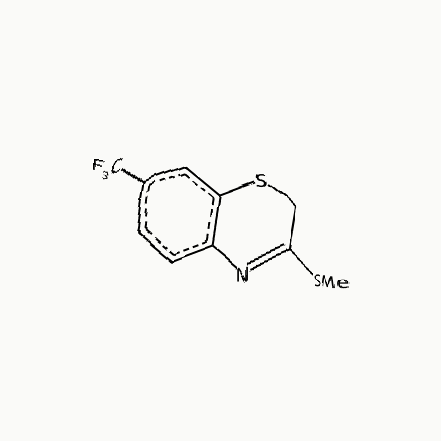 CSC1=Nc2ccc(C(F)(F)F)cc2SC1